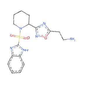 NCCc1nc(C2CCCCN2S(=O)(=O)c2nc3ccccc3[nH]2)no1